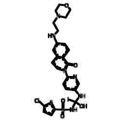 O=c1c2ccc(NCCN3CCOCC3)cc2ccn1-c1ccc(NC(O)(I)NS(=O)(=O)c2ccc(Cl)s2)cn1